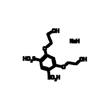 O=S(=O)(O)c1cc(S(=O)(=O)O)c(OCCO)cc1OCCO.[NaH]